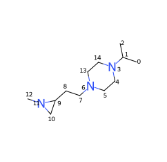 CC(C)N1CCN(CCC2CN2C)CC1